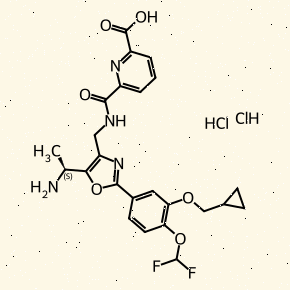 C[C@H](N)c1oc(-c2ccc(OC(F)F)c(OCC3CC3)c2)nc1CNC(=O)c1cccc(C(=O)O)n1.Cl.Cl